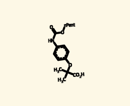 CCCCCOC(=O)Nc1ccc(OC(C)(C)C(=O)O)cc1